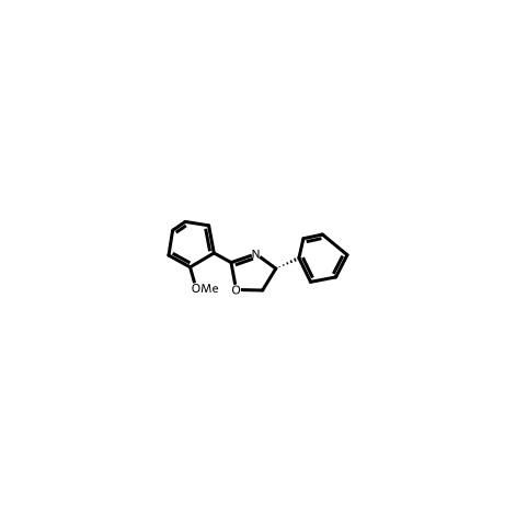 COc1ccccc1C1=N[C@H](c2ccccc2)CO1